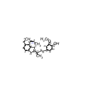 C=Cc1ccc2c(c1/C=C\C)CN([C@H](C)CCc1ccc(O)c(OC)c1)C2